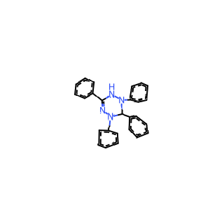 c1ccc(C2=NN(c3ccccc3)C(c3ccccc3)N(c3ccccc3)N2)cc1